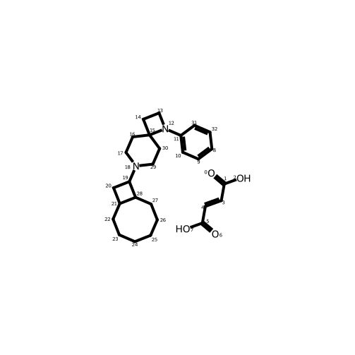 O=C(O)/C=C/C(=O)O.c1ccc(N2CCC23CCN(C2CC4CCCCCCC42)CC3)cc1